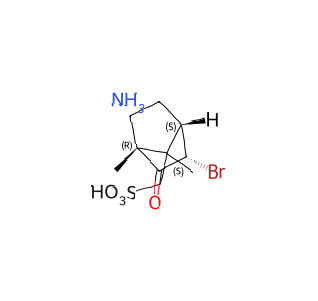 CC1(CS(=O)(=O)O)[C@@H]2CC[C@@]1(C)C(=O)[C@H]2Br.N